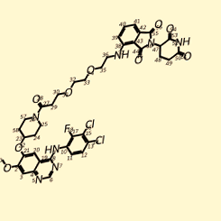 COc1cc2ncnc(Nc3ccc(Cl)c(Cl)c3F)c2cc1OC1CCN(C(=O)CCOCCOCCNc2cccc3c2C(=O)N(C2CCC(=O)NC2=O)C3=O)CC1